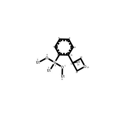 CCO[Si](CC)(OCC)c1ccccc1C1(CC)COC1